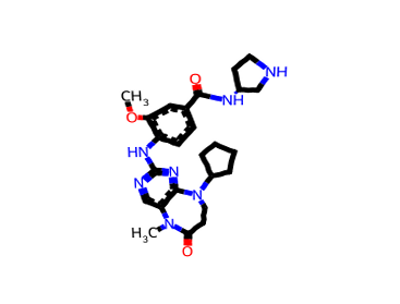 COc1cc(C(=O)N[C@@H]2CCNC2)ccc1Nc1ncc2c(n1)N(C1CCCC1)CCC(=O)N2C